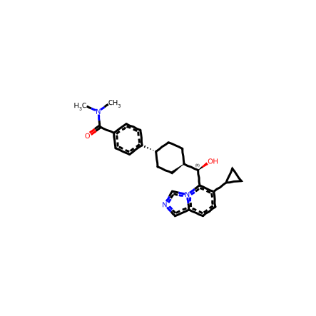 CN(C)C(=O)c1ccc([C@H]2CC[C@H]([C@@H](O)c3c(C4CC4)ccc4cncn34)CC2)cc1